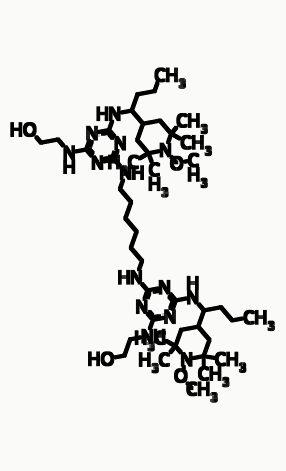 CCCC(Nc1nc(NCCO)nc(NCCCCCCNc2nc(NCCO)nc(NC(CCC)C3CC(C)(C)N(OC)C(C)(C)C3)n2)n1)C1CC(C)(C)N(OC)C(C)(C)C1